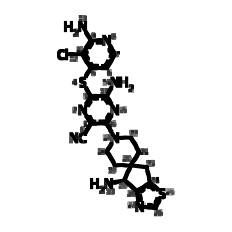 N#Cc1nc(Sc2ccnc(N)c2Cl)c(N)nc1N1CCC2(CC1)Cc1scnc1[C@H]2N